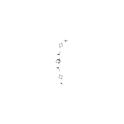 O=C(COC1CC(OC(F)(F)F)C1)NC1CC2(NC(=O)COC3CC(OC(F)(F)F)C3)CC1C2